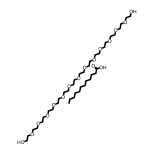 CCCCCCCCCCCC(=O)O.OCCOCCOCCOCCOCCOCCOCCOCCOCCOCCOCCOCCOCCOCCO